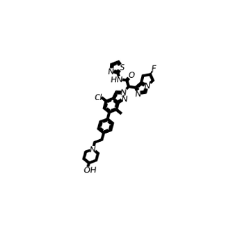 Cc1c(-c2ccc(CCN3CCC(O)CC3)cc2)cc(Cl)c2cn(C(C(=O)Nc3nccs3)c3ncn4c3C[C@@H](F)C4)nc12